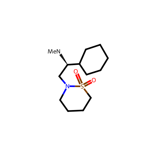 CN[C@H](CN1CCCCS1(=O)=O)C1CCCCC1